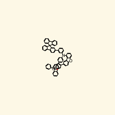 c1ccc(-c2ccc(N(c3cccc(-c4ccc5c(c4)C4(c6ccccc6-c6ccccc64)c4ccccc4-5)c3)c3cccc4oc5ccc(-c6ccc7c(c6)c6ccccc6n7-c6ccccc6)cc5c34)cc2)cc1